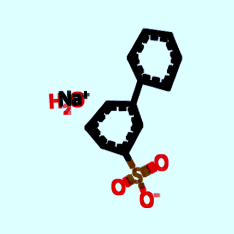 O.O=S(=O)([O-])c1cccc(-c2ccccc2)c1.[Na+]